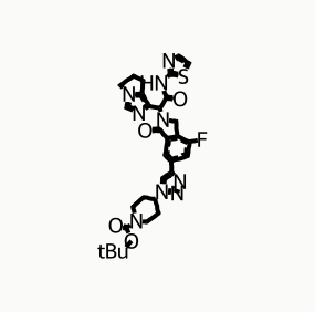 CC(C)(C)OC(=O)N1CCC(n2cc(-c3cc(F)c4c(c3)C(=O)N(C(C(=O)Nc3nccs3)c3ncn5c3CCC5)C4)nn2)CC1